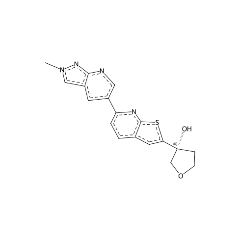 Cn1cc2cc(-c3ccc4cc([C@@]5(O)CCOC5)sc4n3)cnc2n1